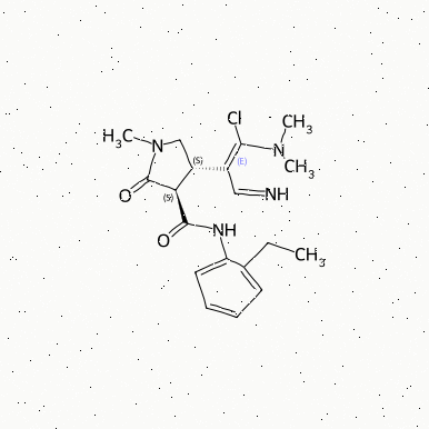 CCc1ccccc1NC(=O)[C@H]1C(=O)N(C)C[C@@H]1/C(C=N)=C(\Cl)N(C)C